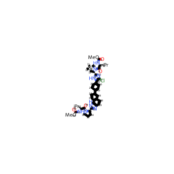 COC(=O)N[C@H](C(=O)N1C[Si](C)(C)C[C@H]1c1nc(Cl)c(-c2ccc(-c3ccc4c(ccc5nc([C@@H]6CCCN6C(=O)[C@@H](NC(=O)OC)C(C)C)[nH]c54)c3)cc2)[nH]1)C(C)C